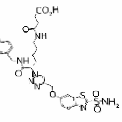 Cc1ccc(CNC(=O)[C@H](CCCCNC(=O)CCC(=O)O)n2cc(COc3ccc4nc(S(N)(=O)=O)sc4c3)nn2)cc1